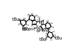 CCCCC[Si]1(CCCCC)C2=Cc3c(-c4cc(C(C)(C)C)cc(C(C)(C)C)c4)cccc3[CH]2[Hf]([CH3])([CH3])[CH]2C1=Cc1c(-c3cc(C(C)(C)C)cc(C(C)(C)C)c3)cccc12